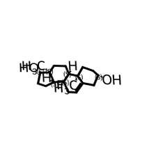 C[C@]12CC[C@H]3[C@@H](CC=C4C[C@@H](O)CC[C@@]43C(F)(F)F)[C@@H]1CC[C@@H]2O